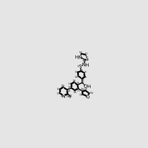 OC(c1ccc(SNC2NC=CS2)cc1)c1ccc(-c2cccnc2F)cc1-c1ccoc1